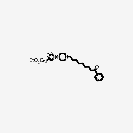 CCOC(=O)[N-]c1c[n+](N2CCN(CCCCCCCCC(=O)c3ccccc3)CC2)no1